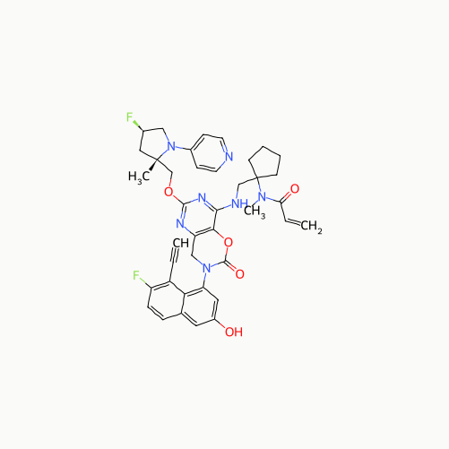 C#Cc1c(F)ccc2cc(O)cc(N3Cc4nc(OC[C@]5(C)C[C@@H](F)CN5c5ccncc5)nc(NCC5(N(C)C(=O)C=C)CCCC5)c4OC3=O)c12